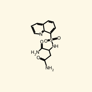 NC(=O)CC(NS(=O)(=O)c1cccc2cccnc12)C(N)=O